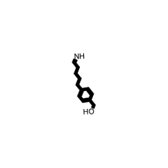 N=CCCCCc1ccc(CO)cc1